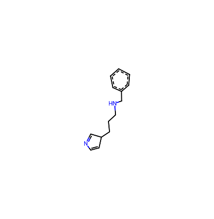 C1=CC(CCCNCc2ccccc2)C=N1